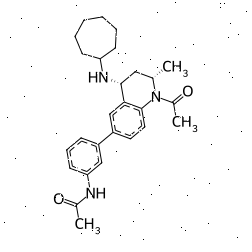 CC(=O)Nc1cccc(-c2ccc3c(c2)[C@H](NC2CCCCCC2)C[C@H](C)N3C(C)=O)c1